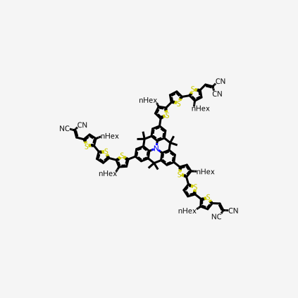 CCCCCCc1cc(C=C(C#N)C#N)sc1-c1ccc(-c2sc(-c3cc4c5c(c3)C(C)(C)c3cc(-c6cc(CCCCCC)c(-c7ccc(-c8sc(C=C(C#N)C#N)cc8CCCCCC)s7)s6)cc6c3N5c3c(cc(-c5cc(CCCCCC)c(-c7ccc(-c8sc(C=C(C#N)C#N)cc8CCCCCC)s7)s5)cc3C6(C)C)C4(C)C)cc2CCCCCC)s1